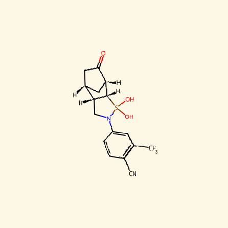 N#Cc1ccc(N2C[C@@H]3[C@@H]4CC(=O)[C@@H](C4)[C@@H]3S2(O)O)cc1C(F)(F)F